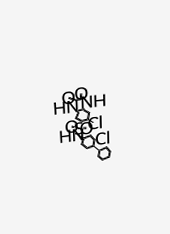 O=c1[nH]c2cc(Cl)c(S(=O)(=O)Nc3ccc(-c4ccccc4)c(Cl)c3)cc2[nH]c1=O